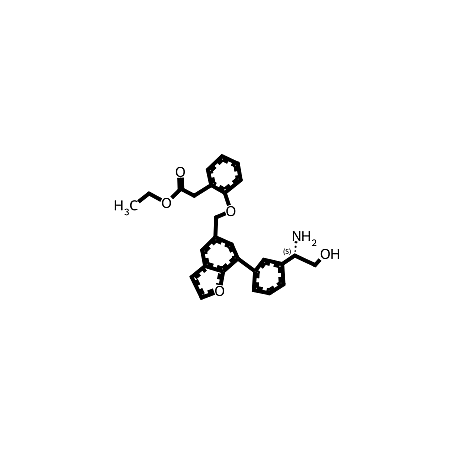 CCOC(=O)Cc1ccccc1OCc1cc(-c2cccc([C@H](N)CO)c2)c2occc2c1